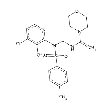 C=C(NCN(c1nccc(Cl)c1C)S(=O)(=O)c1ccc(C)cc1)N1CCOCC1